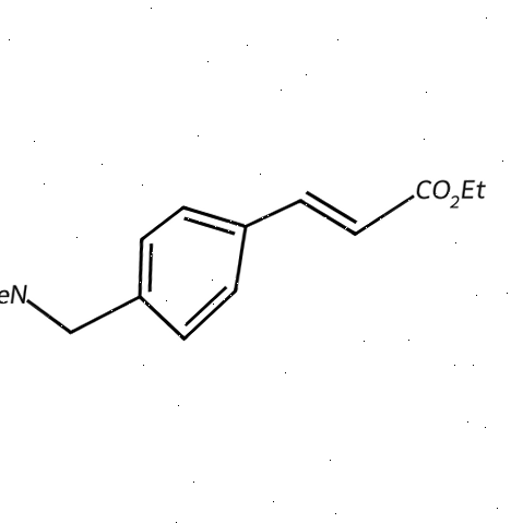 CCOC(=O)/C=C/c1ccc(CNC)cc1